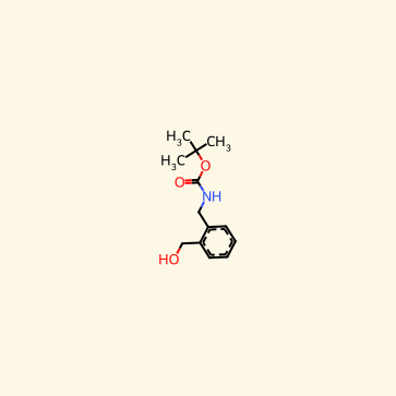 CC(C)(C)OC(=O)NCc1ccccc1CO